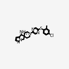 Cc1cc(Cl)ccc1Sc1cnc(N2CCC3(CC2)Cn2nccc2[C@H]3N)cn1